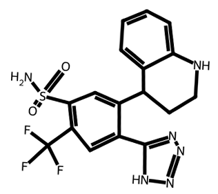 NS(=O)(=O)c1cc(C2CCNc3ccccc32)c(-c2nnn[nH]2)cc1C(F)(F)F